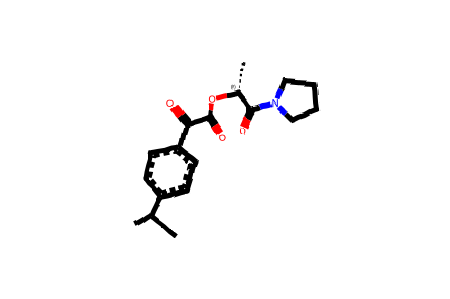 CC(C)c1ccc(C(=O)C(=O)O[C@H](C)C(=O)N2CCCC2)cc1